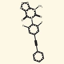 Cn1c(=O)n(-c2c(F)cc(C#Cc3ccccc3)cc2F)c(=O)c2nsnc21